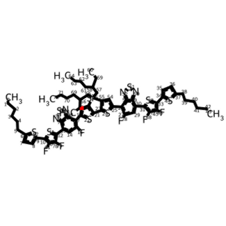 CCCCCCc1ccc(-c2sc(-c3cc(F)c(-c4cc5c(s4)-c4sc(-c6c(F)cc(-c7sc(-c8ccc(CCCCCC)s8)c(F)c7F)c7nsnc67)cc4[Si]5(CC(CC)CCCC)CC(CC)CCCC)c4nsnc34)c(F)c2F)s1